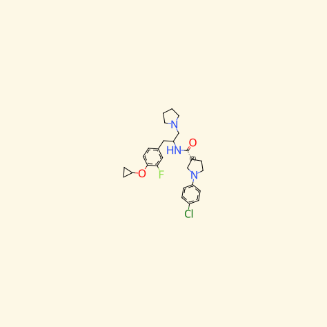 O=C(NC(Cc1ccc(OC2CC2)c(F)c1)CN1CCCC1)[C@@H]1CCN(c2ccc(Cl)cc2)C1